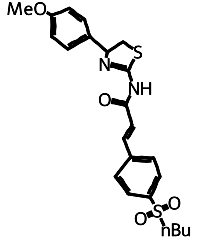 CCCCS(=O)(=O)c1ccc(/C=C/C(=O)NC2=NC(c3ccc(OC)cc3)CS2)cc1